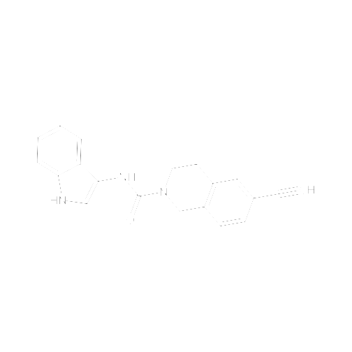 C#Cc1ccc2c(c1)CCN(C(=O)Nc1c[nH]c3ccccc13)C2